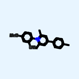 COc1ccc(-[n+]2c(C)cc(-c3ccc(C)cc3)cc2C)c(OC)c1